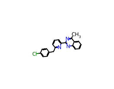 Cc1nc(-c2cccc(Cc3ccc(Cl)cc3)n2)nc2ccccc12